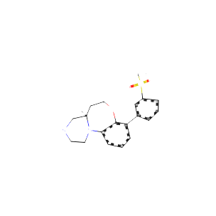 CS(=O)(=O)c1cccc(-c2cccc3c2OCC[C@H]2CNCCN32)c1